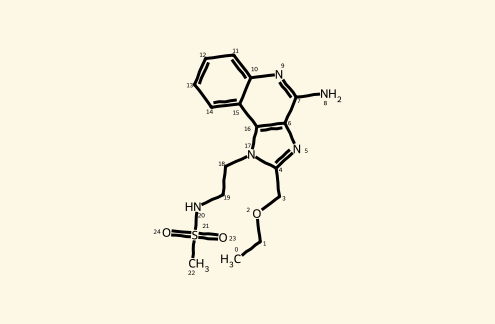 CCOCc1nc2c(N)nc3ccccc3c2n1CCNS(C)(=O)=O